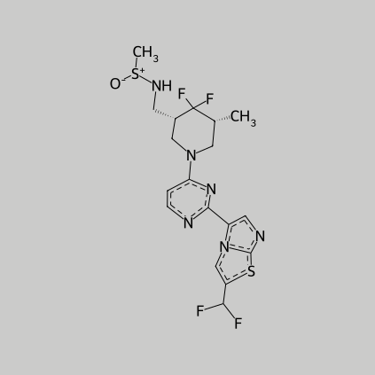 C[C@@H]1CN(c2ccnc(-c3cnc4sc(C(F)F)cn34)n2)C[C@H](CN[S+](C)[O-])C1(F)F